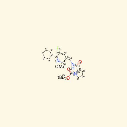 COc1nc(C2CCCCC2)c(F)cc1CNC(=O)[C@@H]1CCCN1C(=O)OC(C)(C)C